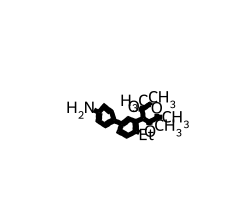 CCc1ccc(-c2ccc(N)cc2)cc1C1C(=O)C(C)(C)OC(C)(C)C1=O